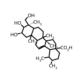 CC1C2C3=CCC4C5(C)C[C@@H](O)C(O)[C@@](C)(CO)C5CCC4(C)[C@]3(C)CC[C@]2(C(=O)O)CC[C@H]1C